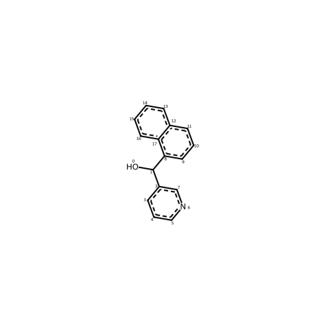 OC(c1cccnc1)c1cccc2ccccc12